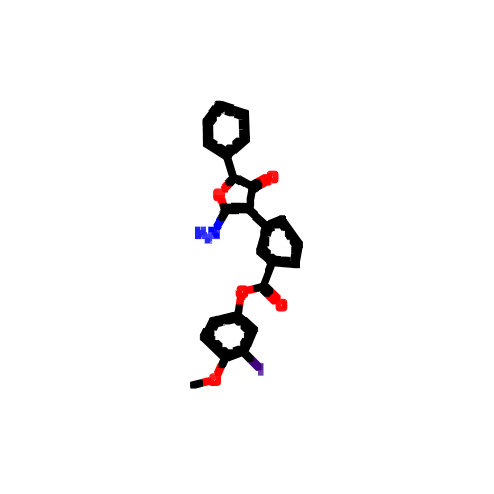 COc1ccc(OC(=O)c2cccc(C3=C(N)OC(c4ccccc4)C3=O)c2)cc1I